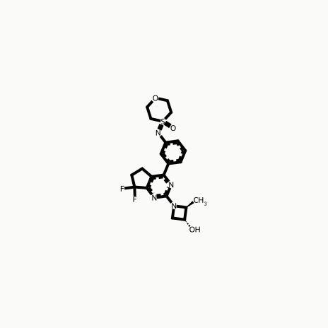 C[C@H]1[C@H](O)CN1c1nc(-c2cccc(N=S3(=O)CCOCC3)c2)c2c(n1)C(F)(F)CC2